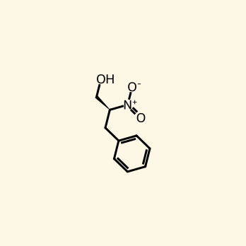 O=[N+]([O-])[C@H](CO)Cc1ccccc1